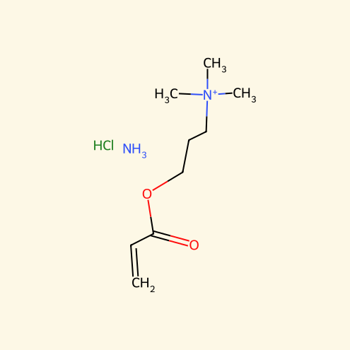 C=CC(=O)OCCC[N+](C)(C)C.Cl.N